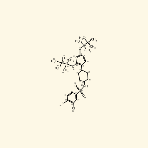 CC(C)(C)[Si](C)(C)Oc1ccc(C2CCC(NS(=O)(=O)c3ccc(F)c(Cl)c3)CC2)c(O[Si](C)(C)C(C)(C)C)c1